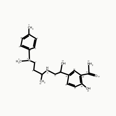 Cc1ccc(N(C)CCC(C)NCC(O)c2ccc(O)c(C(N)=O)c2)cc1